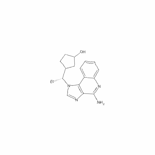 CC[C@H](C1CCC(O)C1)n1cnc2c(N)nc3ccccc3c21